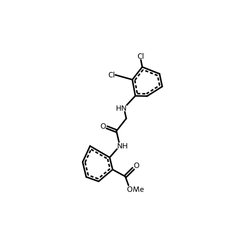 COC(=O)c1ccccc1NC(=O)CNc1cccc(Cl)c1Cl